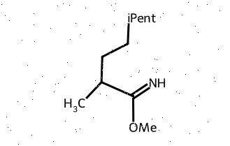 CCCC(C)CCC(C)C(=N)OC